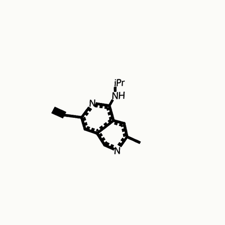 C#Cc1cc2cnc(C)cc2c(NC(C)C)n1